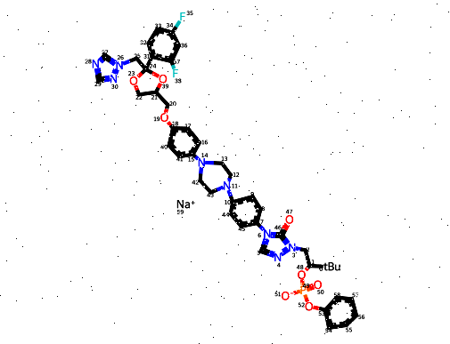 CC(C)(C)C(Cn1ncn(-c2ccc(N3CCN(c4ccc(OCC5COC(Cn6cncn6)(c6ccc(F)cc6F)O5)cc4)CC3)cc2)c1=O)OP(=O)([O-])Oc1ccccc1.[Na+]